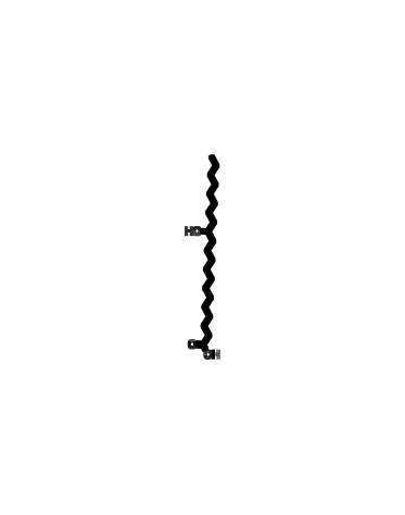 CCCCCCCCC(O)CCCCCCCCCCCC(=O)O